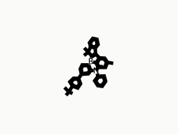 Cc1cc2c3c(c1)N(c1ccccc1)c1cc(-c4ccc(C(C)(C)C)cc4)ccc1B3C1=C2c2ccccc2C1(C)C